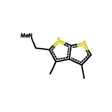 CNCc1sc2scc(C)c2c1C